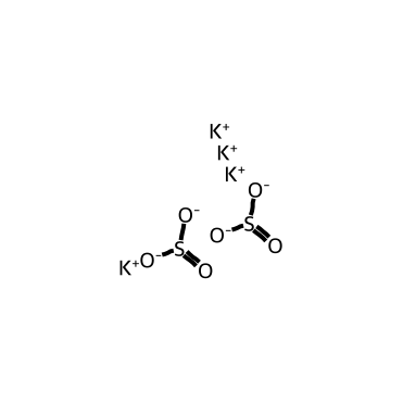 O=S([O-])[O-].O=S([O-])[O-].[K+].[K+].[K+].[K+]